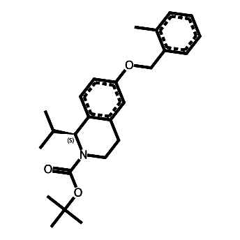 Cc1ccccc1COc1ccc2c(c1)CCN(C(=O)OC(C)(C)C)[C@H]2C(C)C